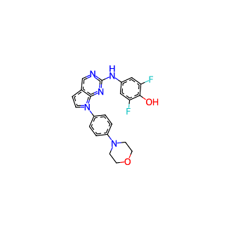 Oc1c(F)cc(Nc2ncc3ccn(-c4ccc(N5CCOCC5)cc4)c3n2)cc1F